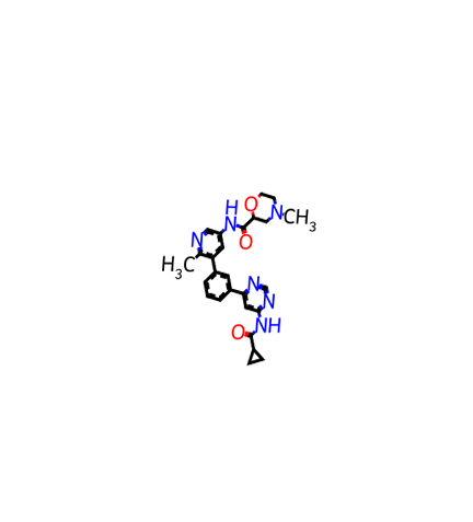 Cc1ncc(NC(=O)C2CN(C)CCO2)cc1-c1cccc(-c2cc(NC(=O)C3CC3)ncn2)c1